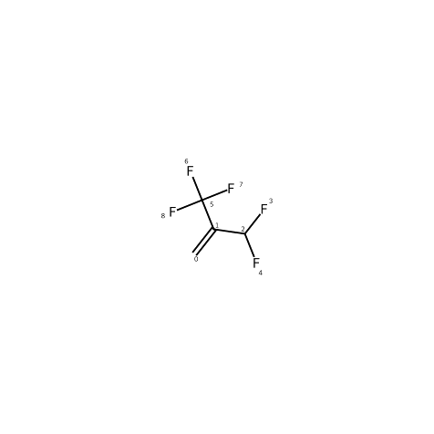 C=C(C(F)F)C(F)(F)F